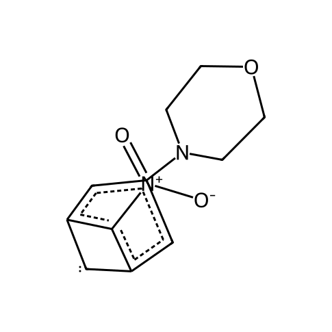 O=[N+]([O-])c1c2cc(N3CCOCC3)cc1[C]2